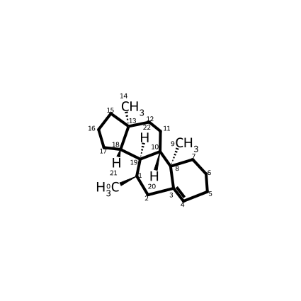 C[C@@H]1CC2=CCCC[C@]2(C)[C@H]2CC[C@]3(C)CCC[C@H]3[C@H]12